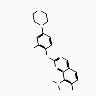 CC(C)N(N)c1c(N)ccc2cnc(Nc3ccc(N4CCOCC4)cc3F)nc12